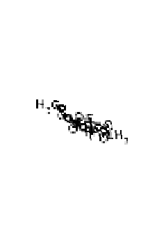 Cc1cccc(Oc2ccc(N3C(=O)c4ccc(C(c5ccc6c(c5)C(=O)N(C)C6=O)(C(F)(F)F)C(F)(F)F)cc4C3=O)cc2)c1